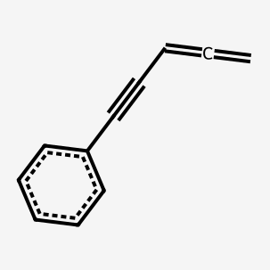 C=C=CC#Cc1ccccc1